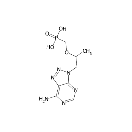 CC(Cn1nnc2c(N)ncnc21)OCP(=O)(O)O